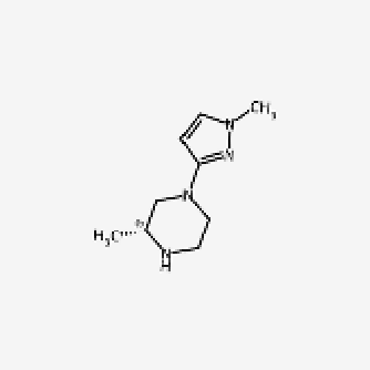 C[C@@H]1CN(c2ccn(C)n2)CCN1